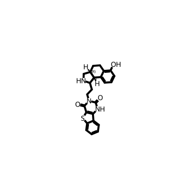 O=c1[nH]c2c(sc3ccccc32)c(=O)n1CCC1NC[C@@H]2CCc3c(O)cccc3[C@H]12